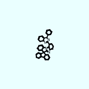 C1=CCC2N=C(c3cccc4nc5n(c34)-c3ccccc3C53c4ccccc4-c4ccccc43)N=C(c3ccccc3)C2=C1